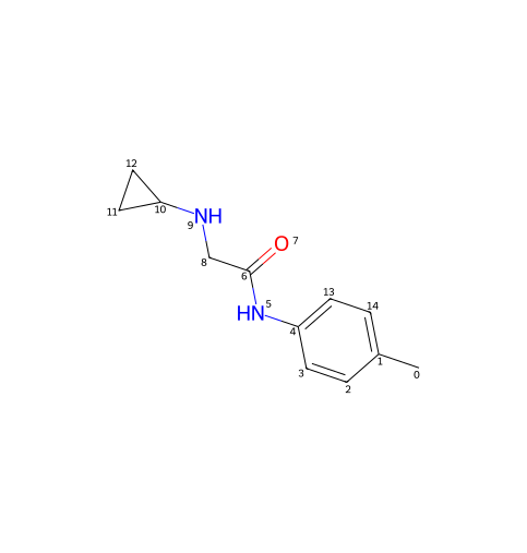 Cc1ccc(NC(=O)CNC2CC2)cc1